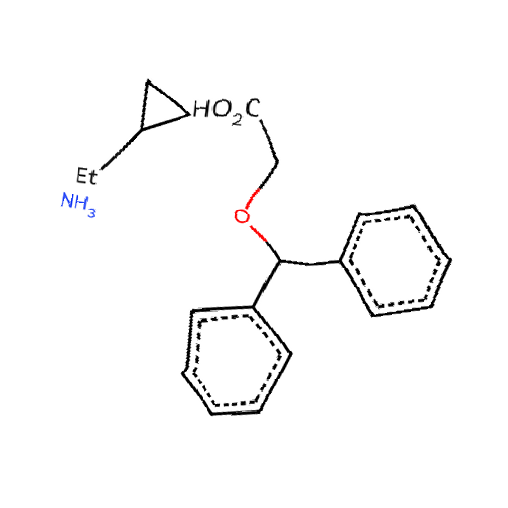 CCC1CC1.N.O=C(O)COC(c1ccccc1)c1ccccc1